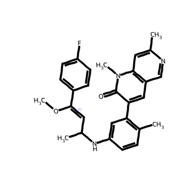 CO/C(=C\C(C)Nc1ccc(C)c(-c2cc3cnc(C)cc3n(C)c2=O)c1)c1ccc(F)cc1